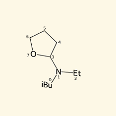 CCC(C)N(CC)C1CCCO1